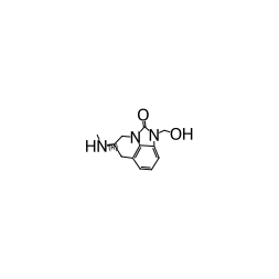 CN[C@@H]1Cc2cccc3c2n(c(=O)n3CO)C1